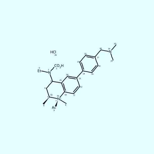 CCN(C(=O)O)C1C[C@H](C)[N@+](C)(C(C)=O)c2ccc(-c3ccc(CN(C)C)cc3)cc21.Cl